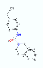 N#CCc1ccc(NC(=O)N2CCc3ccccc3C2)cc1